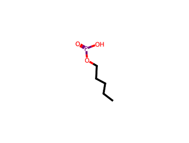 CCCCCO[P](=O)O